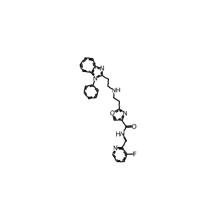 O=C(NCc1ncccc1F)c1coc(CCNCCc2nc3ccccc3n2-c2ccccc2)n1